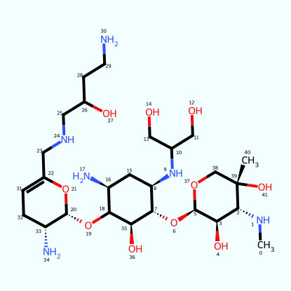 CN[C@@H]1[C@@H](O)[C@@H](O[C@H]2[C@H](NC(CO)CO)C[C@H](N)C(O[C@H]3OC(CNCC(O)CCN)=CC[C@H]3N)[C@@H]2O)OC[C@]1(C)O